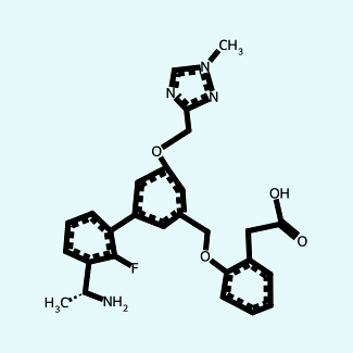 C[C@@H](N)c1cccc(-c2cc(COc3ccccc3CC(=O)O)cc(OCc3ncn(C)n3)c2)c1F